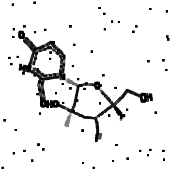 C[C@@]1(O)C(F)[C@@](F)(CO)O[C@H]1n1ccc(=O)[nH]c1=O